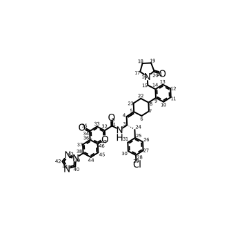 O=C(N[C@H](C=C1CCC(c2ccccc2CN2CCCC2=O)CC1)Cc1ccc(Cl)cc1)c1cc(=O)c2cc(-n3cncn3)ccc2o1